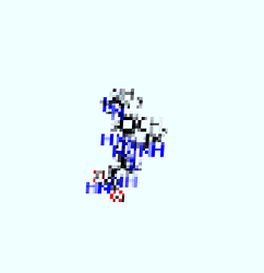 Cc1cc(Nc2nc(NC3CC3)n3ncc(/C=C4\NC(=O)NC4=O)c3n2)cc(-n2cnc(C)c2)c1